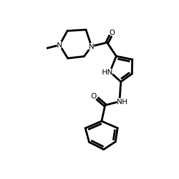 CN1CCN(C(=O)c2ccc(NC(=O)c3ccccc3)[nH]2)CC1